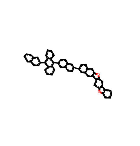 c1ccc2cc(-c3c4ccccc4c(-c4ccc5cc(-c6ccc7cc8oc9cc%10c(cc9c8cc7c6)oc6ccccc6%10)ccc5c4)c4ccccc34)ccc2c1